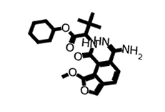 COc1occ2ccc(C(=N)N)c(C(=O)NC(C(=O)OC3CCCCC3)C(C)(C)C)c12